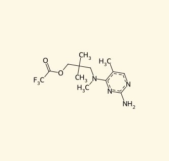 Cc1cnc(N)nc1N(C)CC(C)(C)COC(=O)C(F)(F)F